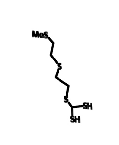 CSCCSCCSC(S)S